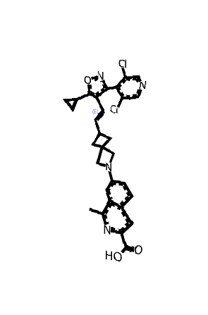 Cc1nc(C(=O)O)cc2ccc(N3CC4(CC(/C=C/c5c(-c6c(Cl)cncc6Cl)noc5C5CC5)C4)C3)cc12